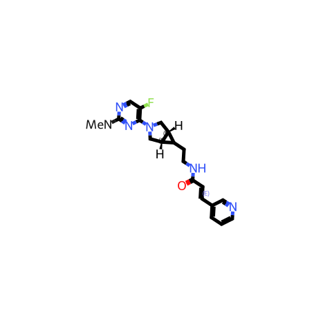 CNc1ncc(F)c(N2C[C@@H]3C(CCNC(=O)/C=C/c4cccnc4)[C@@H]3C2)n1